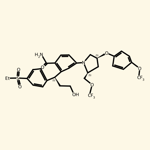 CCS(=O)(=O)c1ccc([C@H](CCO)c2cc(N3C[C@@H](Oc4ccc(OC(F)(F)F)cc4)C[C@H]3COC(F)(F)F)ccc2C(N)=O)cc1